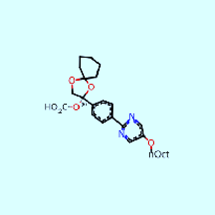 CCCCCCCCOc1cnc(-c2ccc([C@@]3(OC(=O)O)COC4(CCCCC4)O3)cc2)nc1